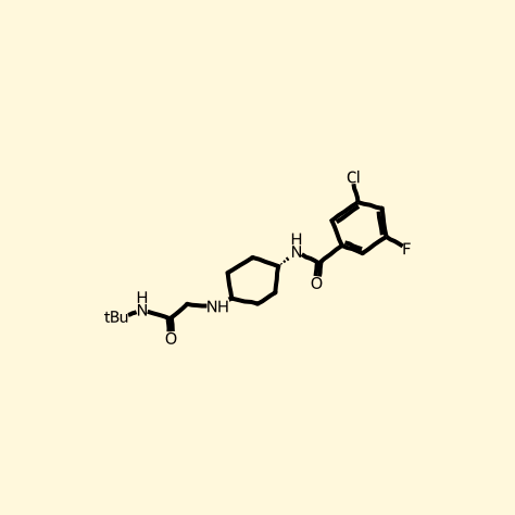 CC(C)(C)NC(=O)CN[C@H]1CC[C@H](NC(=O)c2cc(F)cc(Cl)c2)CC1